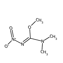 CO/C(=N\[N+](=O)[O-])N(C)C